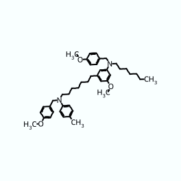 CCCCCCCN(Cc1ccc(OC)cc1)c1cc(CCCCCCCN(Cc2ccc(OC)cc2)c2ccc(C)cc2)cc(OC)c1